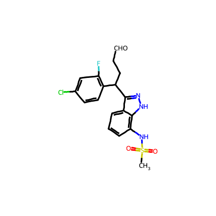 CS(=O)(=O)Nc1cccc2c(C(CCC=O)c3ccc(Cl)cc3F)n[nH]c12